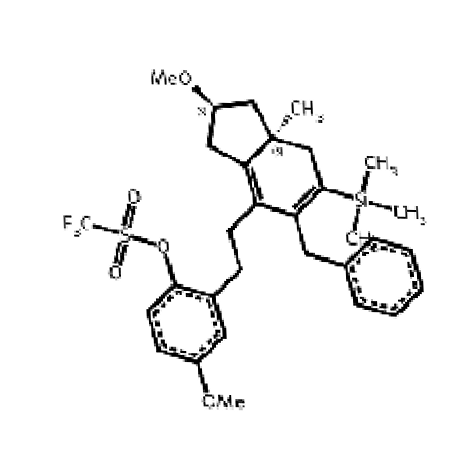 COc1ccc(OS(=O)(=O)C(F)(F)F)c(CCC2=C3C[C@@H](OC)C[C@@]3(C)CC([Si](C)(C)C)=C2Cc2ccccc2)c1